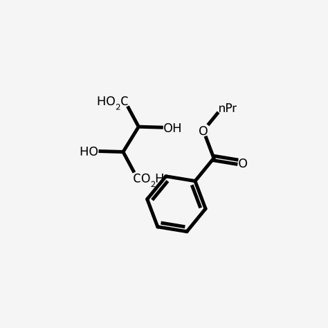 CCCOC(=O)c1ccccc1.O=C(O)C(O)C(O)C(=O)O